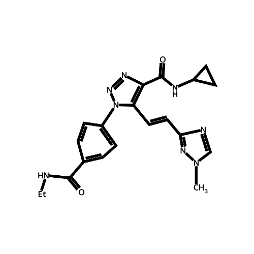 CCNC(=O)c1ccc(-n2nnc(C(=O)NC3CC3)c2C=Cc2ncn(C)n2)cc1